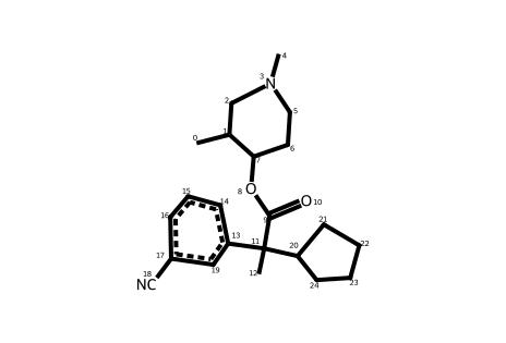 CC1CN(C)CCC1OC(=O)C(C)(c1cccc(C#N)c1)C1CCCC1